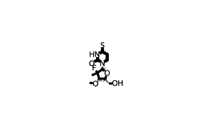 CO[C@H]1[C@@H](CO)O[C@@H](n2ccc(=S)[nH]c2=O)C1(C)F